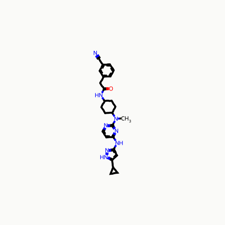 CN(c1nccc(Nc2cc(C3CC3)[nH]n2)n1)C1CCC(NC(=O)Cc2cccc(C#N)c2)CC1